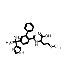 CSCCC(NC(=O)c1ccc(C(C)(N)c2c[nH]cn2)cc1-c1ccccc1)C(=O)O